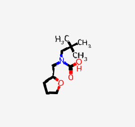 CC(C)(C)CN(C[C@@H]1CCCO1)C(=O)O